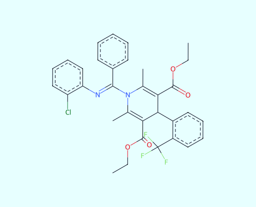 CCOC(=O)C1=C(C)N(C(=Nc2ccccc2Cl)c2ccccc2)C(C)=C(C(=O)OCC)C1c1ccccc1C(F)(F)F